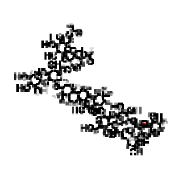 C=CC(C)(O)CC/C=C(\C)C(=O)OC1C(O)C(CO)OC(OC(=O)C23CCC(C)(C)CC2C2=CCC4C5(C)CCC(OC6OC(COC7OCC(OC(C)=O)C(O)C7OC7OC(COC(C)=O)C(O)C(O)C7O)C(O)C(O)C6OC6OCC(O)C(O)C6O)C(C)(C)C5CCC4(C)C2(C)C(O)C3O)C1OC1OCC(OC2OCC(O)C(OC3OCC(C)C(O)C3O)C2O)C(O)C1O